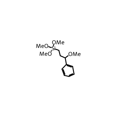 COC(CC[Si](OC)(OC)OC)c1ccccc1